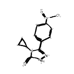 O=c1[nH]nc(-c2ccc([N+](=O)[O-])cc2)n1C1CC1